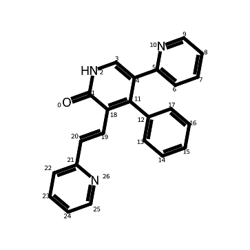 O=c1[nH]cc(-c2ccccn2)c(-c2ccccc2)c1C=Cc1ccccn1